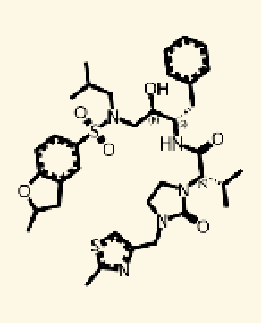 Cc1nc(CN2CCN([C@H](C(=O)N[C@@H](Cc3ccccc3)[C@H](O)CN(CC(C)C)S(=O)(=O)c3ccc4c(c3)CC(C)O4)C(C)C)C2=O)cs1